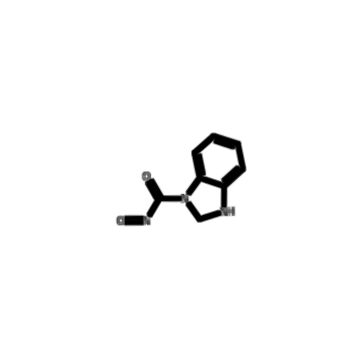 O=NC(=O)N1CNc2ccccc21